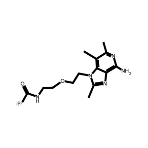 Cc1nc(N)c2nc(C)n(CCOCCNC(=O)C(C)C)c2c1C